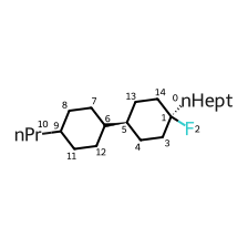 CCCCCCC[C@]1(F)CC[C@@H](C2CCC(CCC)CC2)CC1